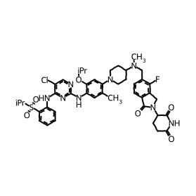 Cc1cc(Nc2ncc(Cl)c(Nc3ccccc3S(=O)(=O)C(C)C)n2)c(OC(C)C)cc1N1CCC(N(C)Cc2ccc3c(c2F)CN(C2CCC(=O)NC2=O)C3=O)CC1